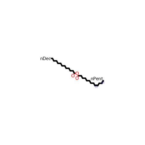 CCCCC/C=C\C/C=C\CCCCCCCC(=O)OC(=O)CCCCCCCCCCCCCCCCCCCCC